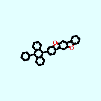 c1ccc(-c2c3ccccc3c(-c3ccc4c(c3)oc3cc5c(cc34)oc3ccccc35)c3ccccc23)cc1